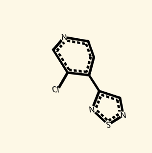 Clc1cnccc1-c1cnsn1